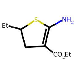 CCOC(=O)C1=C(N)SC(CC)C1